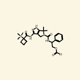 CCC(=O)OCC(NC(=O)N1Cc2c(NC(=O)C3([Si](C)(C)C)CCC3)n[nH]c2C1(C)C)c1ccccc1